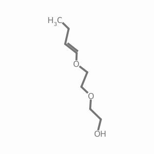 CCC=COCCOCCO